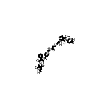 COc1cc(C)[nH]c(=O)c1CNC(=O)c1c(C)n([C@H](C)C2CCN(CCNC(=O)CCOCCNc3cccc4c3C(=O)N(C3CCC(=O)NC3=O)C4=O)CC2)c2ccccc12